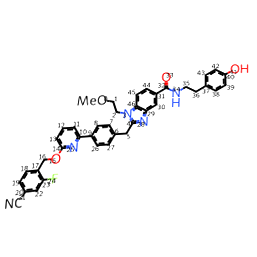 COCCn1c(Cc2ccc(-c3cccc(OCc4ccc(C#N)cc4F)n3)cc2)nc2cc(C(=O)NCCc3ccc(O)cc3)ccc21